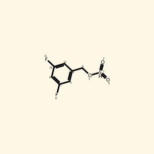 O=[SH](=O)O[CH]c1cc(F)cc(F)c1